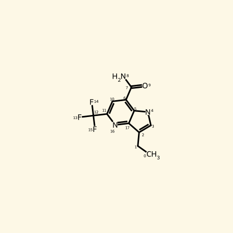 CCC1=C[N]c2c(C(N)=O)cc(C(F)(F)F)nc21